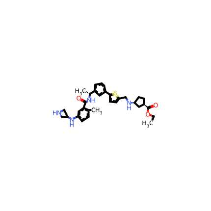 CCOC(=O)[C@@H]1CC[C@H](NCc2ccc(-c3cccc([C@@H](C)NC(=O)c4cc(NC5CNC5)ccc4C)c3)s2)C1